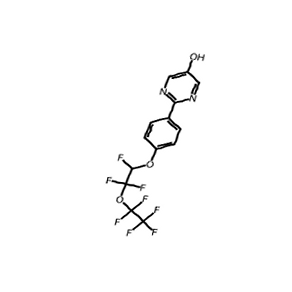 Oc1cnc(-c2ccc(OC(F)C(F)(F)OC(F)(F)C(F)(F)F)cc2)nc1